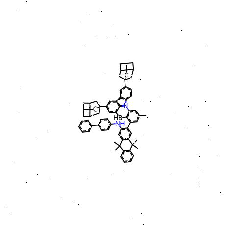 Cc1cc(-c2cc3c(cc2Nc2ccc(-c4ccccc4)cc2)C(C)(C)c2ccccc2C3(C)C)c2c(c1)-n1c3ccc(C45CC6CC7CC(C4)C76C5)cc3c3cc(C45CC6CC7CC(C4)C76C5)cc(c31)B2